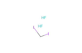 F.F.ICI